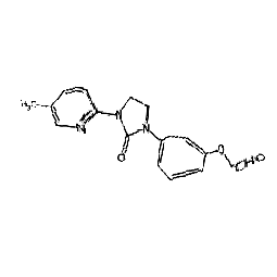 Cc1ccc(N2CCN(c3cccc(OC=O)c3)C2=O)nc1